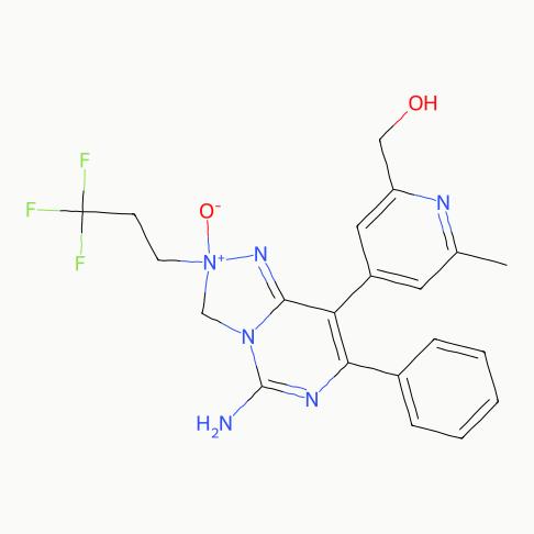 Cc1cc(C2=C(c3ccccc3)N=C(N)N3C[N+]([O-])(CCC(F)(F)F)N=C23)cc(CO)n1